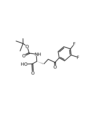 CC(C)(C)OC(=O)N[C@H](CCC(=O)c1ccc(F)c(F)c1)C(=O)O